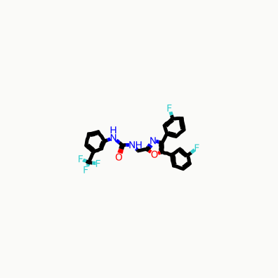 O=C(NCc1nc(-c2cccc(F)c2)c(-c2cccc(F)c2)o1)Nc1cccc(C(F)(F)F)c1